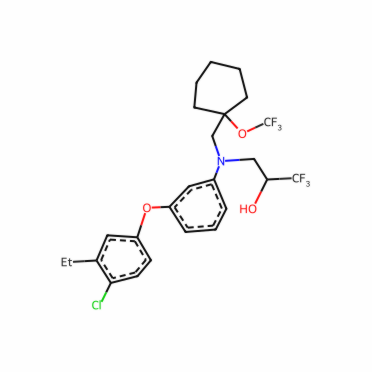 CCc1cc(Oc2cccc(N(CC(O)C(F)(F)F)CC3(OC(F)(F)F)CCCCC3)c2)ccc1Cl